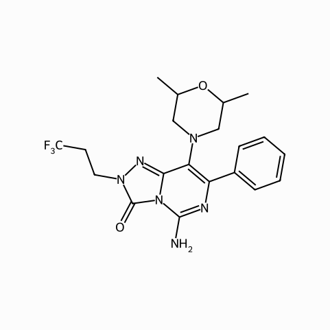 CC1CN(c2c(-c3ccccc3)nc(N)n3c(=O)n(CCC(F)(F)F)nc23)CC(C)O1